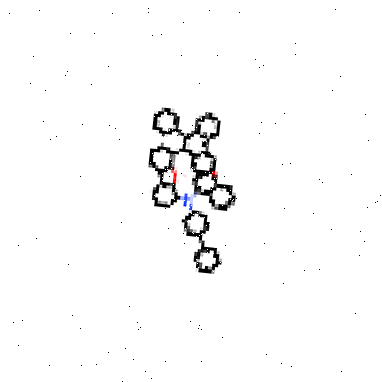 c1ccc(-c2ccc(N(c3cccc4ccccc34)c3cccc4c3oc3c(-c5c(-c6ccccc6)c6ccccc6c6ccccc56)cccc34)cc2)cc1